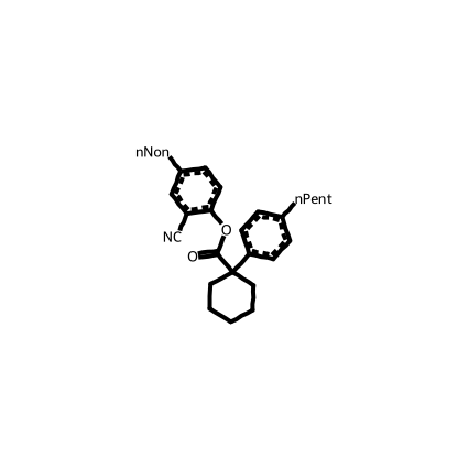 CCCCCCCCCc1ccc(OC(=O)C2(c3ccc(CCCCC)cc3)CCCCC2)c(C#N)c1